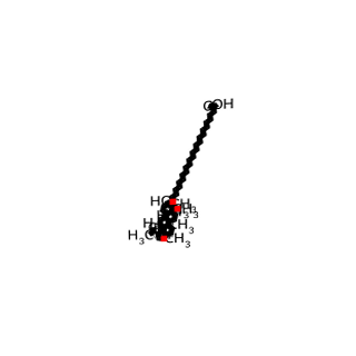 C=C(C)[C@@H]1CC[C@]2(C)CC[C@]3(C)[C@H](CC[C@@H]4[C@@]5(C)CCC(O)(CCCCCCCCCCCCCCCCCCCCCCCCCC(=O)O)C(C)(C)[C@@H]5CC[C@]43C)[C@@H]12